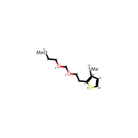 COCCOCOCCc1sccc1SC